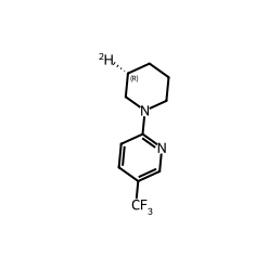 [2H][C@@H]1CCCN(c2ccc(C(F)(F)F)cn2)C1